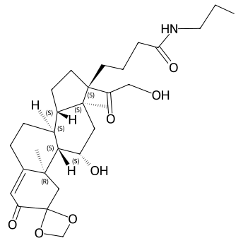 CCCNC(=O)CCC[C@]1(C(=O)CO)CC[C@H]2[C@@H]3CCC4=CC(=O)C5(C[C@]4(C)[C@H]3[C@@H](O)C[C@@]21C)OCO5